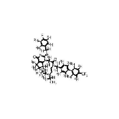 [2H]c1c([2H])c(C([2H])([2H])Sc2nc(=O)c3c(n2C([2H])([2H])C(=O)N(CCN(C([2H])([2H])C)C([2H])([2H])C)C([2H])([2H])c2c([2H])c([2H])c(-c4c([2H])c([2H])c(C(F)(F)F)c([2H])c4[2H])c([2H])c2[2H])C([2H])([2H])C([2H])(C)C3([2H])[2H])c([2H])c([2H])c1F